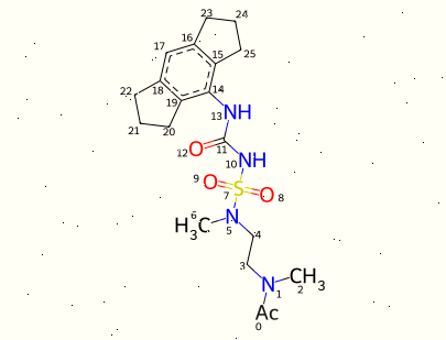 CC(=O)N(C)CCN(C)S(=O)(=O)NC(=O)Nc1c2c(cc3c1CCC3)CCC2